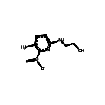 Nc1ccc(NCCO)nc1[N+](=O)[O-]